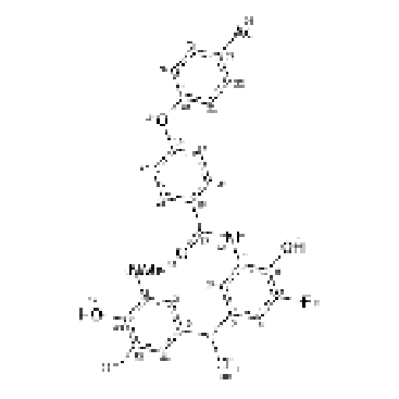 CNc1cc(C(c2cc(F)c(O)c(NC(=O)c3ccc(Oc4ccc(C(C)=O)cc4)cc3)c2)C(F)(F)F)cc(F)c1O